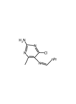 CCC/C=N\c1c(C)nc(N)nc1Cl